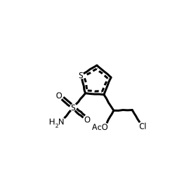 CC(=O)OC(CCl)c1ccsc1S(N)(=O)=O